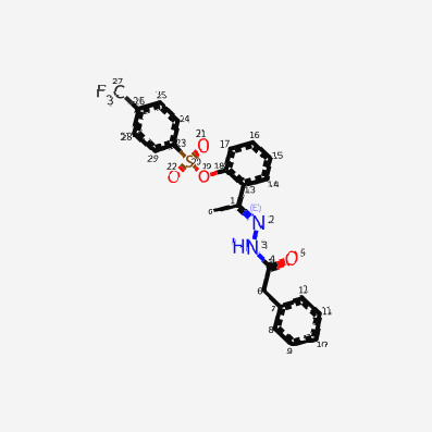 C/C(=N\NC(=O)Cc1ccccc1)c1ccccc1OS(=O)(=O)c1ccc(C(F)(F)F)cc1